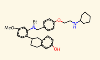 CCN(Cc1ccc(OCCNC2CCCCC2)cc1)c1cc(OC)ccc1C1CCc2cc(O)ccc2C1